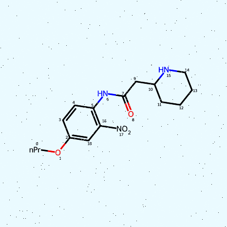 CCCOc1ccc(NC(=O)CC2CCCCN2)c([N+](=O)[O-])c1